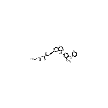 Cc1cc(Nc2ncnc3ccc(C#CCNC(=O)CNCCO)cc23)ccc1Oc1cccnc1